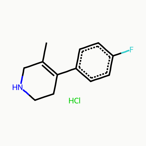 CC1=C(c2ccc(F)cc2)CCNC1.Cl